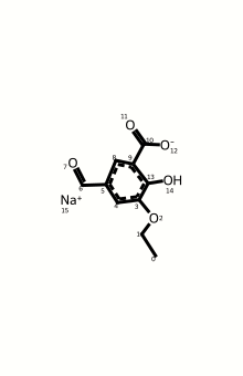 CCOc1cc(C=O)cc(C(=O)[O-])c1O.[Na+]